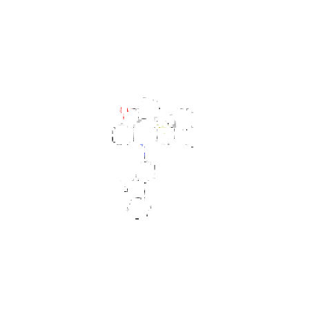 C[Si]1(C)c2ccccc2-c2ccc(N(c3ccccc3)c3cccc4oc5ccc6c7ccc8c(c7sc6c5c34)C=CCC8)cc21